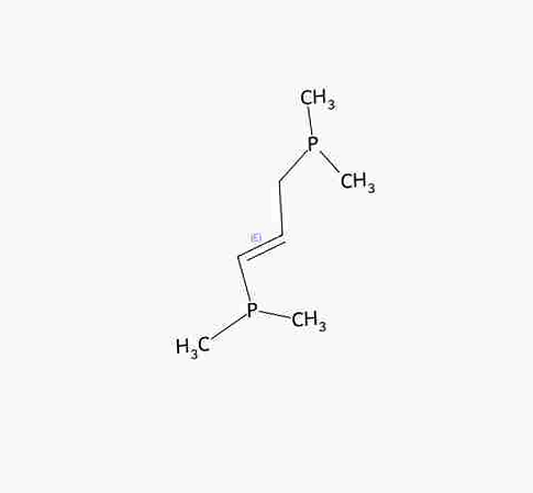 CP(C)/C=C/CP(C)C